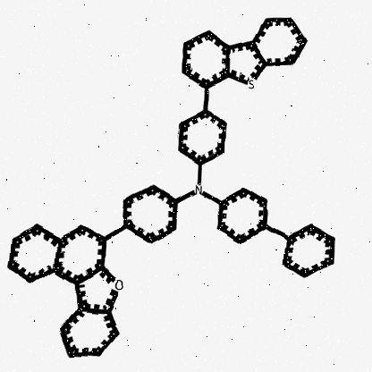 c1ccc(-c2ccc(N(c3ccc(-c4cc5ccccc5c5c4oc4ccccc45)cc3)c3ccc(-c4cccc5c4sc4ccccc45)cc3)cc2)cc1